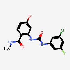 CNC(=O)c1ccc(Br)cc1NC(=O)Nc1cc(F)cc(Cl)c1